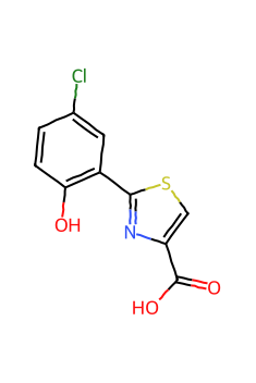 O=C(O)c1csc(-c2cc(Cl)ccc2O)n1